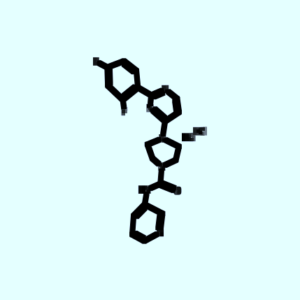 Cl.Cl.O=C(Nc1cccnc1)N1CCN(c2ccnc(-c3ccc(F)cc3F)n2)CC1